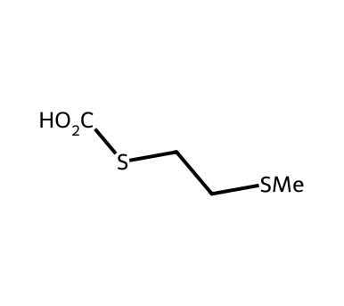 CSCCSC(=O)O